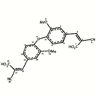 COc1cc(C=C(C#N)C(=O)O)ccc1Oc1ccc(C=C(C#N)C(=O)O)cc1OC